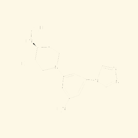 Nc1cc(N2CC[C@H](NC(=O)O)[C@@H](O)C2)cc(-n2cnnc2)c1